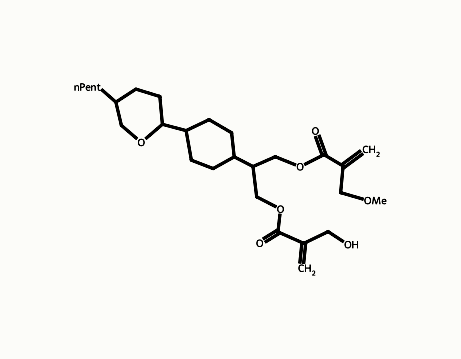 C=C(CO)C(=O)OCC(COC(=O)C(=C)COC)C1CCC(C2CCC(CCCCC)CO2)CC1